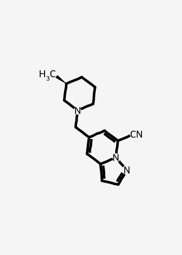 C[C@H]1CCCN(Cc2cc(C#N)n3nccc3c2)C1